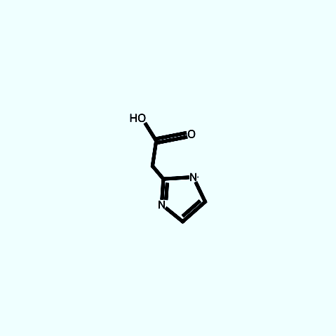 O=C(O)CC1=NC=C[N]1